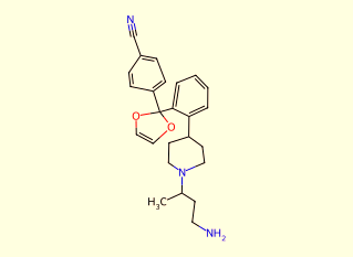 CC(CCN)N1CCC(c2ccccc2C2(c3ccc(C#N)cc3)OC=CO2)CC1